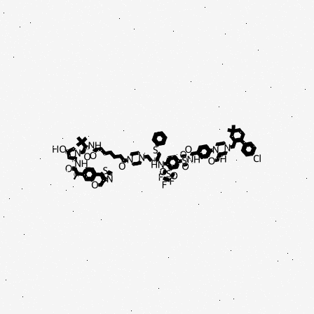 C[C@@H](C(=O)N[C@@H]1C[C@@H](O)CN1C(=O)[C@@H](NC(=O)CCCCCC(=O)N1CCN(CC[C@H](CSc2ccccc2)Nc2ccc(S(=O)(=O)NC(=O)c3ccc4c(c3)OC[C@@H]3CN(CC5=C(c6ccc(Cl)cc6)CCC(C)(C)C5)CCN43)cc2S(=O)(=O)C(F)(F)F)CC1)C(C)(C)C)c1ccc2c(c1)OCc1ncsc1-2